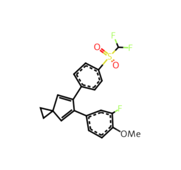 COc1ccc(C2=CC3(C=C2c2ccc(S(=O)(=O)C(F)F)cc2)CC3)cc1F